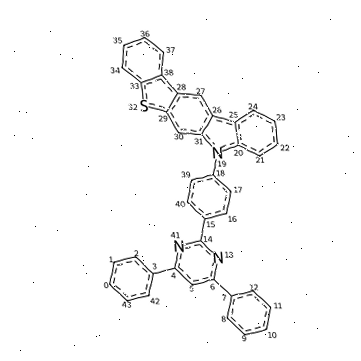 c1ccc(-c2cc(-c3ccccc3)nc(-c3ccc(-n4c5ccccc5c5cc6c(cc54)sc4ccccc46)cc3)n2)cc1